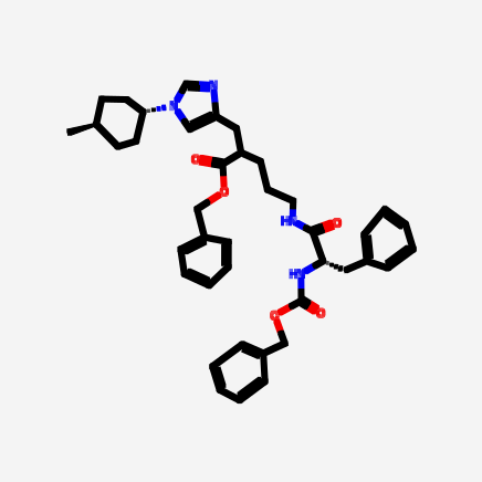 C[C@H]1CC[C@H](n2cnc(CC(CCCNC(=O)[C@H](Cc3ccccc3)NC(=O)OCc3ccccc3)C(=O)OCc3ccccc3)c2)CC1